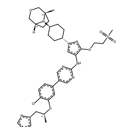 C[C@@H](Cn1cncn1)Oc1cc(-c2cnc(Nc3cn([C@H]4CC[C@H](N5[C@@H]6CC[C@H]5COC6)CC4)nc3OCCS(C)(=O)=O)nc2)ccc1Cl